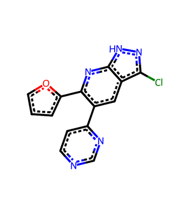 Clc1n[nH]c2nc(-c3ccco3)c(-c3ccncn3)cc12